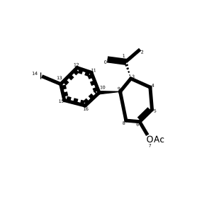 C=C(C)[C@@H]1CC=C(OC(C)=O)C[C@H]1c1ccc(I)cc1